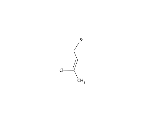 CC(Cl)=CC[S]